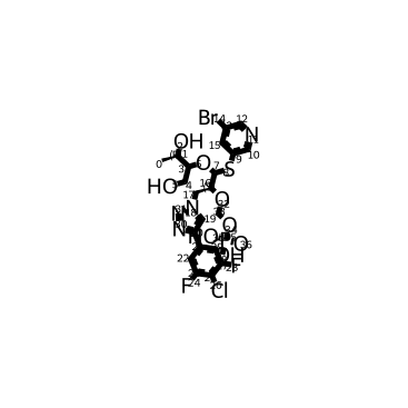 C[C@@H](O)C(CO)OC(Sc1cncc(Br)c1)[C@H](Cn1cc(-c2cc(F)c(Cl)c(F)c2)nn1)OCOP(=O)(O)O